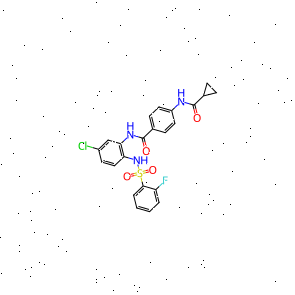 O=C(Nc1cc(Cl)ccc1NS(=O)(=O)c1ccccc1F)c1ccc(NC(=O)C2CC2)cc1